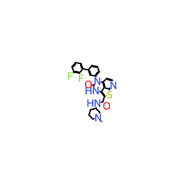 CN1CCCC(NC(=O)c2sc3nccc4c3c2NC(=O)N4c2cccc(-c3cccc(F)c3F)c2)C1